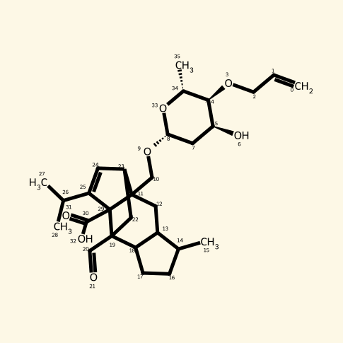 C=CCO[C@H]1[C@@H](O)C[C@H](OCC23CC4C(C)CCC4C4(C=O)CC2C=C(C(C)C)C43C(=O)O)O[C@@H]1C